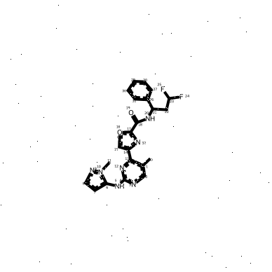 Cc1cnc(Nc2ccnn2C)nc1-c1coc(C(=O)NC(CC(F)F)c2ccccc2)n1